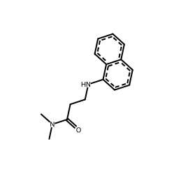 CN(C)C(=O)CCNc1cccc2ccccc12